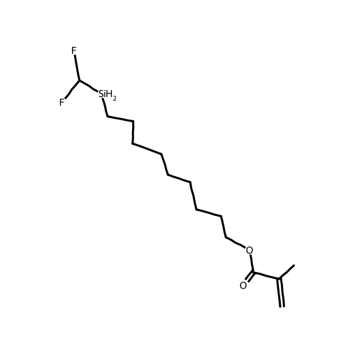 C=C(C)C(=O)OCCCCCCCCC[SiH2]C(F)F